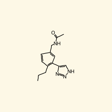 CCCc1ccc(CNC(C)=O)cc1-c1c[nH]nn1